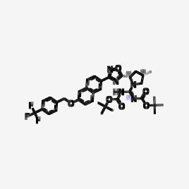 C[C@H]1C[C@@H](c2nc(-c3ccc4cc(OCc5ccc(C(F)(F)F)cc5)ccc4c3)no2)N(/C(=N\C(=O)OC(C)(C)C)NC(=O)OC(C)(C)C)C1